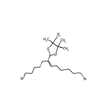 CC1(C)OB(/C(=C\CCCCCBr)CCCCCBr)OC1(C)C